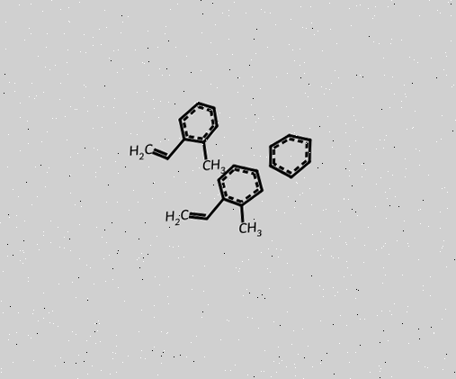 C=Cc1ccccc1C.C=Cc1ccccc1C.c1ccccc1